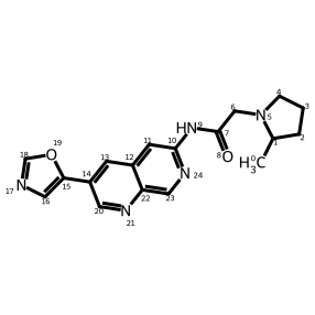 CC1CCCN1CC(=O)Nc1cc2cc(-c3cnco3)cnc2cn1